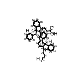 CCCN1/C(=C/C=C/C=C/C2=[N+](CCC(=O)O)c3ccccc3C2(C)Cc2ccccc2)C(C)(Cc2ccccc2)c2ccccc21